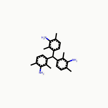 Cc1ccc(C(c2ccc(C)c(N)c2C)c2ccc(C)c(N)c2C)c(C)c1N